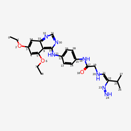 CCOc1cc(OCC)c2c(Nc3ccc(NC(=O)CN/C=C(\N=N)C(C)C)cc3)ncnc2c1